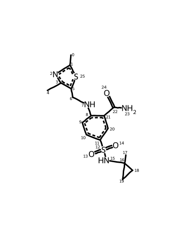 Cc1nc(C)c(CNc2ccc(S(=O)(=O)NC3(C)CC3)cc2C(N)=O)s1